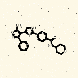 Cc1onc(-c2ccccc2)c1-c1c[nH]c(-c2ccc(C(=O)NC3CCOCC3)cc2)n1